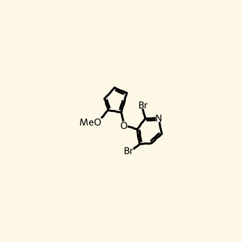 COc1ccccc1Oc1c(Br)ccnc1Br